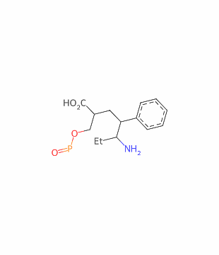 CCC(N)C(CC(COP=O)C(=O)O)c1ccccc1